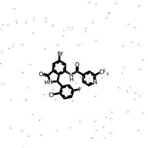 O=C(Nc1cc(Br)cc2c1C(c1cc(F)ccc1Cl)NC2=O)c1ccnc(C(F)(F)F)c1